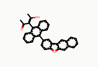 CC(=O)C(=C(C)O)c1c2ccccc2c(-c2ccc3oc4cc5ccccc5cc4c3c2)c2ccccc12